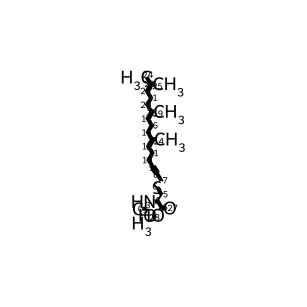 CC(=O)N[C@@H](CSCC#CCC/C=C(\C)CC/C=C(\C)CCC=C(C)C)C(=O)O